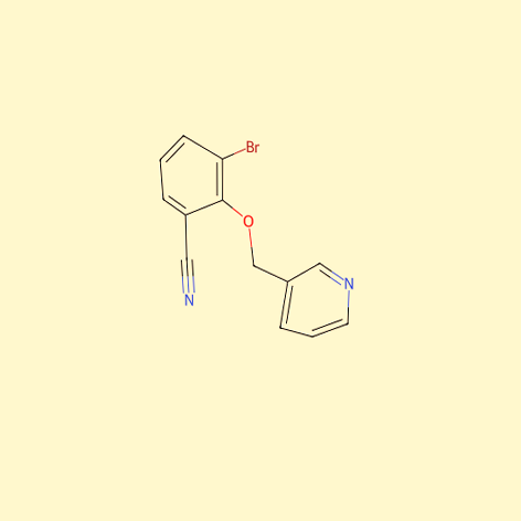 N#Cc1cccc(Br)c1OCc1cccnc1